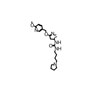 COc1ccc(COC2=NSC(NC(=O)NCCCCN3CCCC3)C2)cn1